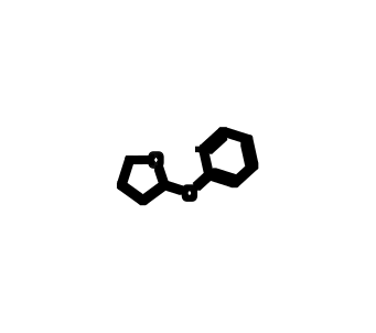 [c]1ccccc1OC1CCCO1